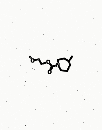 COCCOC(=O)N1CCCC(C)CC1